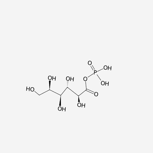 O=C(OP(=O)(O)O)[C@@H](O)[C@@H](O)[C@@H](O)[C@H](O)CO